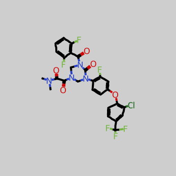 CN(C)C(=O)C(=O)N1CN(C(=O)c2c(F)cccc2F)C(=O)N(c2ccc(Oc3ccc(C(F)(F)F)cc3Cl)cc2F)C1